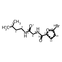 CC(C)CCNC(=O)CNC(=O)c1ccc(Br)o1